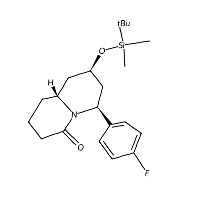 CC(C)(C)[Si](C)(C)O[C@@H]1C[C@H]2CCCC(=O)N2[C@H](c2ccc(F)cc2)C1